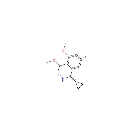 COc1cccc2c1C(OC)CNC2C1CC1.I